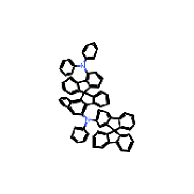 c1ccc(N(c2ccccc2)c2cccc3c2-c2ccccc2C32c3ccccc3-c3c(N(c4ccccc4)c4ccc5c(c4)C4(c6ccccc6-c6ccccc64)c4ccccc4-5)cc4ccccc4c32)cc1